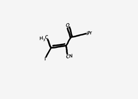 C/C(I)=C(/C#N)C(=O)C(C)C